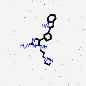 Nc1ncc(-c2cccc(-c3cc4ccccc4[nH]3)c2)c(NCCCN2C=NCC2)n1